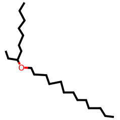 CCCCCCCCCCCCCOC(CC)CCCCCCC